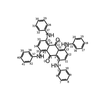 O=C1c2c(Nc3ccccc3)ccc(Nc3ccccc3)c2C(=O)c2c(Nc3ccccc3)ccc(Nc3ccccc3)c21